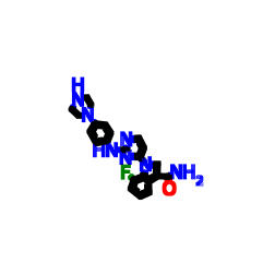 NC(=O)c1cn(-c2ccnc(Nc3ccc(N4CCNCC4)cc3)n2)c2c(F)cccc12